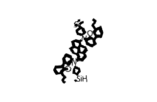 CCCc1cccc2c1oc1c(N(c3ccc([SiH](C)C)cc3)c3ccc4ccc5c(N(c6ccc([Si](C)(C)C)cc6)c6cccc7c6oc6c(CCC)cccc67)ccc6ccc3c4c65)cccc12